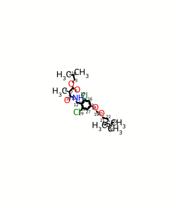 CC(C)COC(=O)[C@H](C)C(=O)NCc1c(Cl)cc(OCOCC[Si](C)(C)C)cc1Cl